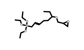 CCO[Si](CC=CCCC(CC)OCC1CO1)(OCC)OCC